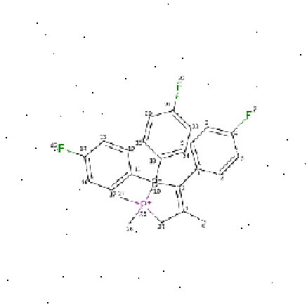 CC1=C(c2ccc(F)cc2)[B-](c2ccc(F)cc2)(c2ccc(F)cc2)[P+](C)(C)C1